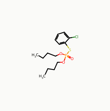 CCCCOP(=O)(OCCCC)Sc1ccccc1Cl